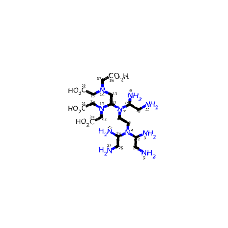 NCC(N)N(CCN(C(N)CN)C(CN(CC(=O)O)CC(=O)O)N(CC(=O)O)CC(=O)O)C(N)CN